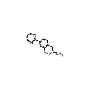 CN1CCc2cc(-c3ncccn3)ccc2C1